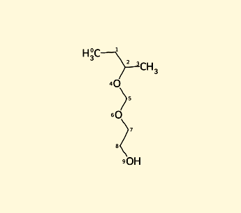 CCC(C)OCOCCO